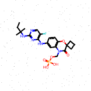 CCC(C)(C)Nc1ncc(F)c(Nc2ccc3c(c2)N(COP(=O)(O)O)C(=O)C2(CCC2)O3)n1